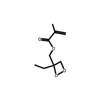 C=C(C)C(=O)OCC1(CC)COO1